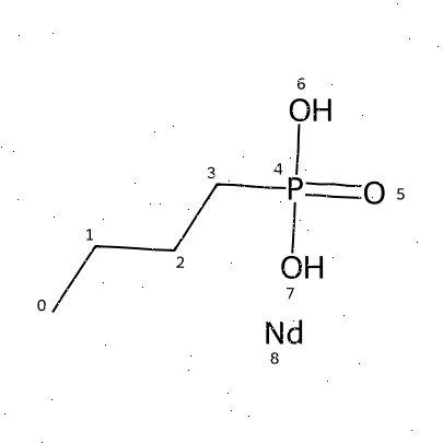 CCCCP(=O)(O)O.[Nd]